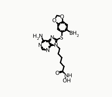 Bc1cc2c(cc1Sc1nc3c(N)ncnc3n1CCCCCC(=O)NO)OCO2